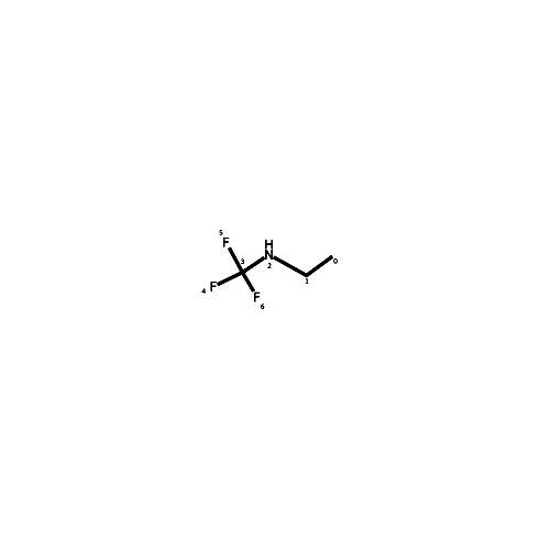 CCNC(F)(F)F